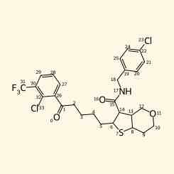 O=C(CCCCC1SC2CCOCC2C1C(=O)NCc1ccc(Cl)cc1)c1cccc(C(F)(F)F)c1Cl